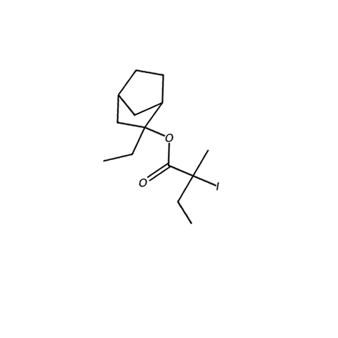 CCC(C)(I)C(=O)OC1(CC)CC2CCC1C2